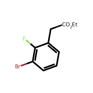 CCOC(=O)Cc1cccc(Br)c1F